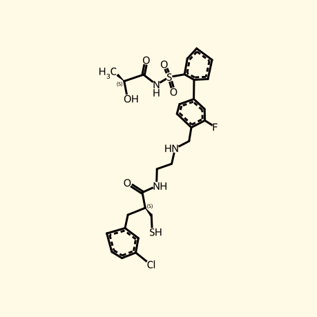 C[C@H](O)C(=O)NS(=O)(=O)c1ccccc1-c1ccc(CNCCNC(=O)[C@@H](CS)Cc2cccc(Cl)c2)c(F)c1